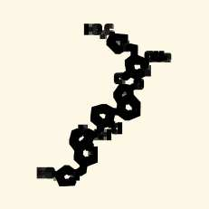 COc1nc(O[C@@H]2CCc3c(-c4cccc(Nc5nccc6cc(CN7CC[C@@H](O)C7)cnc56)c4Cl)cccc32)c(Cl)cc1CN1CC[C@@H](C(=O)O)C1